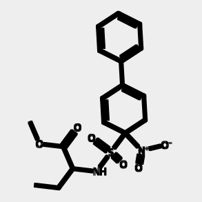 CCC(NS(=O)(=O)C1([N+](=O)[O-])C=CC(c2ccccc2)=CC1)C(=O)OC